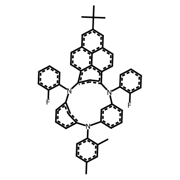 Cc1ccc(N2c3cccc(c3)N(c3ccccc3F)c3cc(c4ccc5cc(C(C)(C)C)cc6ccc3c4c65)N(c3ccccc3F)c3cccc2c3)c(C)c1